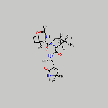 CC1(C)C[C@@H](C[C@@H](C#N)NC(=O)[C@@H]2[C@@H]3[C@H](CN2C(=O)[C@@H](NC(=O)C(F)(F)F)C2(C)CCC2)C3(C)C)C(=O)N1